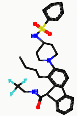 CCCCc1c(N2CCC(NS(=O)(=O)c3ccccc3)CC2)ccc2c1C(C(=O)NCC(F)(F)F)c1ccccc1-2